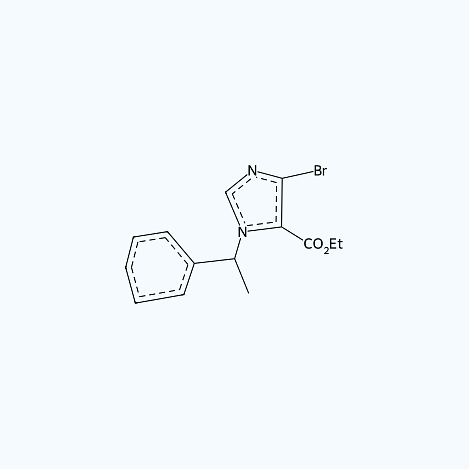 CCOC(=O)c1c(Br)ncn1C(C)c1ccccc1